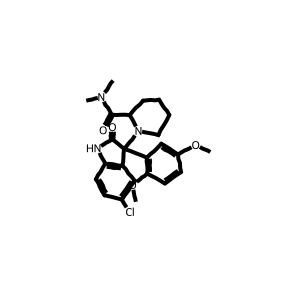 COc1ccc(OC)c(C2(N3CCCCC3C(=O)N(C)C)C(=O)Nc3ccc(Cl)cc32)c1